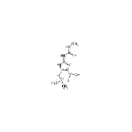 CNC(=O)Nc1nc2c(s1)C(=O)CC(C)(C)C2